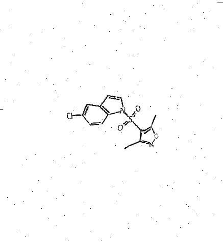 Cc1noc(C)c1S(=O)(=O)n1ccc2cc(Cl)ccc21